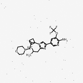 CC(C)Cc1nc(-c2cnc(N)c(OC(F)(F)F)c2)cn1C12CC(C1)C2CN1CCOCC1